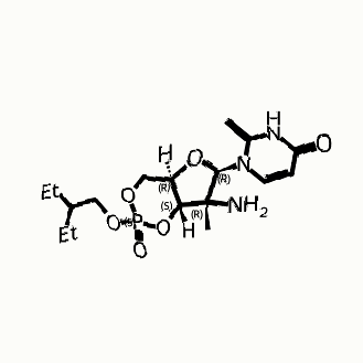 C=C1NC(=O)C=CN1[C@@H]1O[C@@H]2CO[P@](=O)(OCC(CC)CC)O[C@H]2[C@@]1(C)N